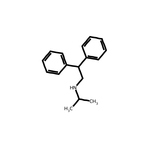 CC(C)NCC(c1ccccc1)c1ccccc1